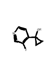 OC1(c2ccncc2F)CC1